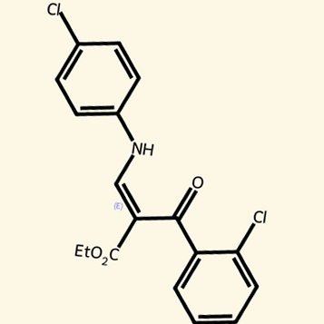 CCOC(=O)/C(=C/Nc1ccc(Cl)cc1)C(=O)c1ccccc1Cl